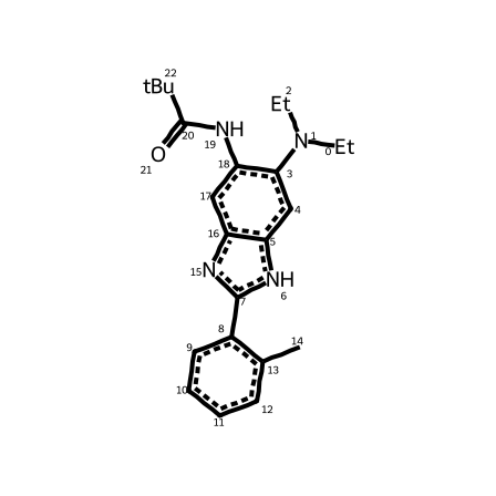 CCN(CC)c1cc2[nH]c(-c3ccccc3C)nc2cc1NC(=O)C(C)(C)C